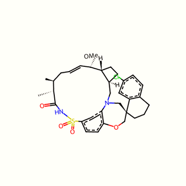 CO[C@H]1/C=C/C[C@H](C)[C@@H](C)C(=O)NS(=O)(=O)c2ccc3c(c2)N(C[C@@H]2CC[C@H]21)C[C@@]1(CCCc2ccc(Cl)cc21)CO3